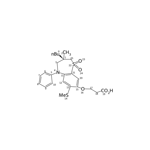 CCCC[C@]1(C)CN(c2ccccc2)c2cc(SC)c(OCCC(=O)O)cc2S(=O)(=O)C1